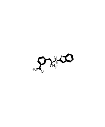 CN(Cc1cccc(C(=O)O)c1)S(=O)(=O)c1cc2ccccc2s1